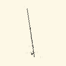 CC(=O)CCCCCCCCCCCCCCCCC(=O)NCCCOCCOCCOCCCNC(=O)CCC(=O)NC(CCC(=O)O)C(=O)OC(C)(C)C